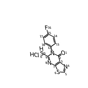 Cl.O=c1c2ncsc2nc(S)n1-c1ccc(F)cc1